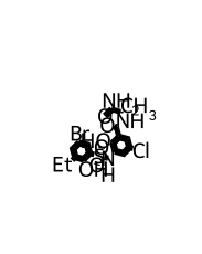 CCc1cc(Br)cc(S(=O)(=O)Nc2cc(Cl)cc(C(=O)NC(C)C(N)=O)c2O)c1O